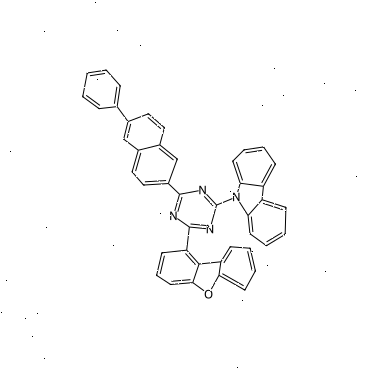 c1ccc(-c2ccc3cc(-c4nc(-c5cccc6oc7ccccc7c56)nc(-n5c6ccccc6c6ccccc65)n4)ccc3c2)cc1